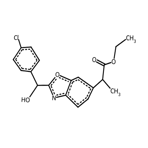 CCOC(=O)C(C)c1ccc2nc(C(O)c3ccc(Cl)cc3)oc2c1